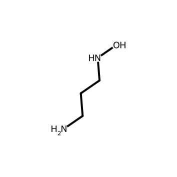 NCCCNO